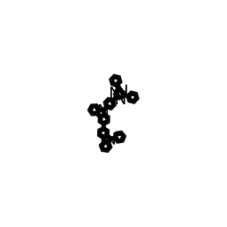 c1ccc(-c2nc(-c3ccccc3)nc(-c3ccc(-n4c5ccccc5c5cc(-c6ccc7c8ccccc8n(-c8ccccc8)c7c6)ccc54)cc3)n2)cc1